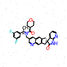 C[C@H](c1cc(F)cc(F)c1)N(Cc1cnc2cc3c(cc2c1)C[C@@]1(C3)C(=O)Nc2ncccc21)C(=O)C1CCOCC1